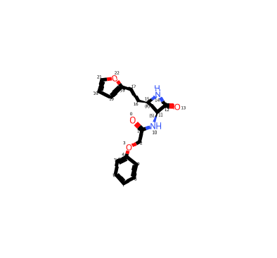 O=C(COc1ccccc1)N[C@@H]1C(=O)N[C@@H]1CCc1ccco1